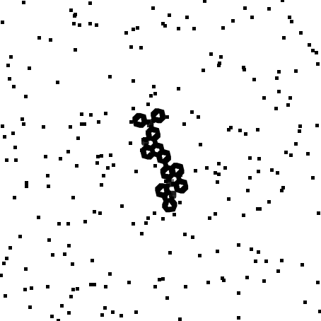 c1ccc(-c2ccccc2N(c2ccc(-c3ccc4cc5c6c(cccc6c4c3)Oc3cc(N(c4ccccc4)c4ccccc4)ccc3-5)cc2)c2cccc3c2oc2ccccc23)cc1